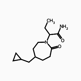 CCC(C(N)=O)N1CCC(CC2CC2)CCC1=O